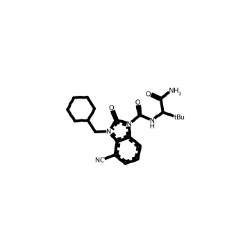 CC(C)(C)C(NC(=O)n1c(=O)n(CC2CCCCC2)c2c(C#N)cccc21)C(N)=O